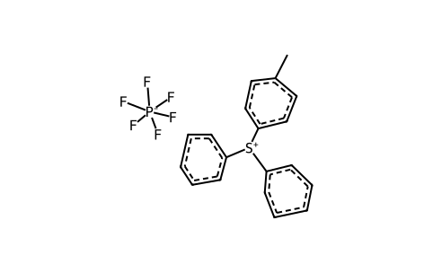 Cc1ccc([S+](c2ccccc2)c2ccccc2)cc1.F[P-](F)(F)(F)(F)F